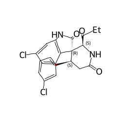 CCC(=O)[C@H]1NC(=O)C[C@@H](c2cccc(Cl)c2)[C@]12C(=O)Nc1cc(Cl)ccc12